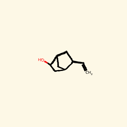 C=CC1CC2CC1CC2O